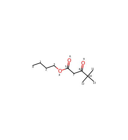 CCCCOC(=O)CC(=O)C(C)(C)C